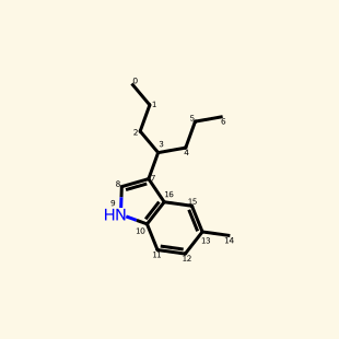 CCCC(CCC)c1c[nH]c2ccc(C)cc12